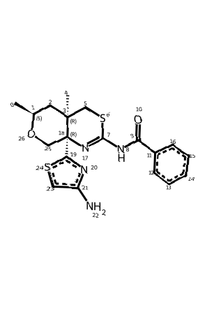 C[C@H]1C[C@@]2(C)CSC(NC(=O)c3ccccc3)=N[C@@]2(c2nc(N)cs2)CO1